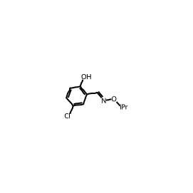 CC(C)ON=Cc1cc(Cl)ccc1O